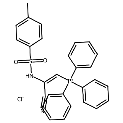 Cc1ccc(S(=O)(=O)NC(C#N)=C[P+](c2ccccc2)(c2ccccc2)c2ccccc2)cc1.[Cl-]